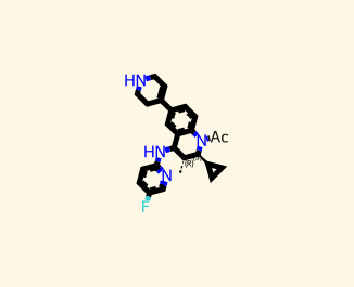 CC(=O)N1c2ccc(C3=CCNCC3)cc2C(Nc2ccc(F)cn2)[C@@H](C)[C@@H]1C1CC1